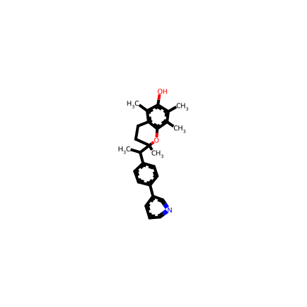 Cc1c(C)c2c(c(C)c1O)CCC(C)(C(C)c1ccc(-c3cccnc3)cc1)O2